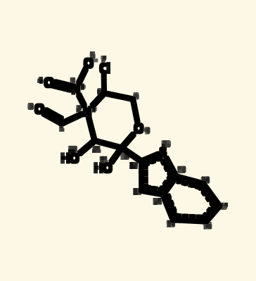 O=C[N+]1([N+](=O)[O-])C(Cl)COC(O)(c2cc3ccccc3s2)C1O